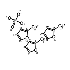 O=P([O-])([O-])[O-].[Ca+][c]1ccco1.[Ca+][c]1ccco1.[Ca+][c]1ccco1